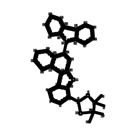 CC1(C)OB(c2cccc3c2oc2cc(-n4c5ccccc5c5ccccc54)c4ccccc4c23)OC1(C)C